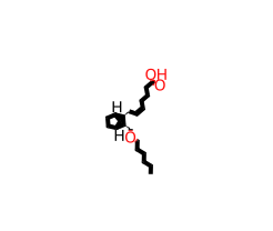 CCCCCCOC[C@@H]1[C@@H]2CC[C@@H](C2)[C@@H]1C/C=C\CCCC(=O)O